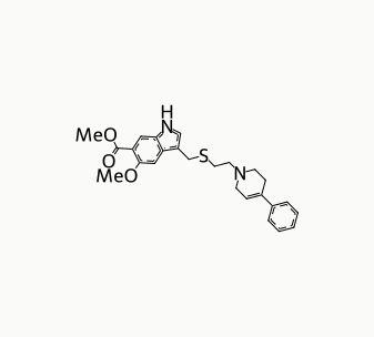 COC(=O)c1cc2[nH]cc(CSCCN3CC=C(c4ccccc4)CC3)c2cc1OC